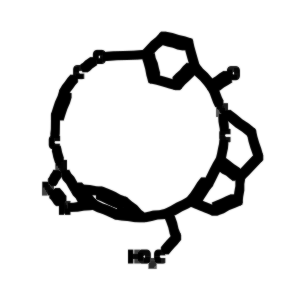 O=C(O)CC1c2ccc3c(c2)CN(CC3)C(=O)c2ccc(cc2)OC/C=C\Cn2nnc3cc1ccc32